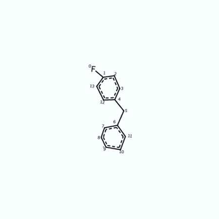 Fc1ccc(Cc2cc[c]cc2)cc1